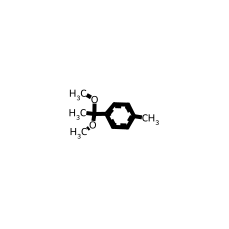 COC(C)(OC)c1ccc(C)cc1